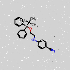 CC(C)(C)[Si](OCCNc1ccc(C#N)cc1)(c1ccccc1)c1ccccc1